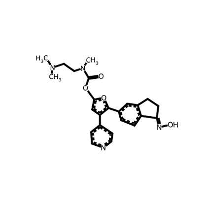 CN(C)CCN(C)C(=O)Oc1cc(-c2ccncc2)c(-c2ccc3c(c2)CCC3=NO)o1